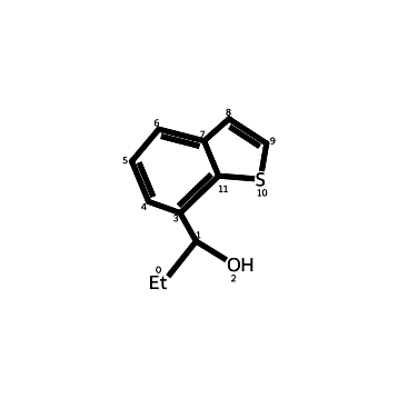 CCC(O)c1cccc2ccsc12